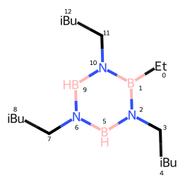 CCB1N(CC(C)CC)BN(CC(C)CC)BN1CC(C)CC